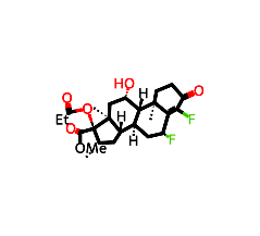 CCC(=O)O[C@]1(C(=O)OC)[C@@H](C)C[C@H]2[C@@H]3C[C@H](F)C4=C(F)C(=O)CC[C@]4(C)[C@H]3[C@@H](O)C[C@@]21C